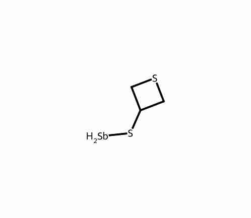 [SbH2][S]C1CSC1